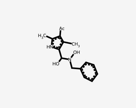 CC(=O)c1c(C)[nH]c(C(O)N(O)Cc2ccccc2)c1C